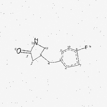 O=C1CC(Cc2ccc(F)cc2)CN1